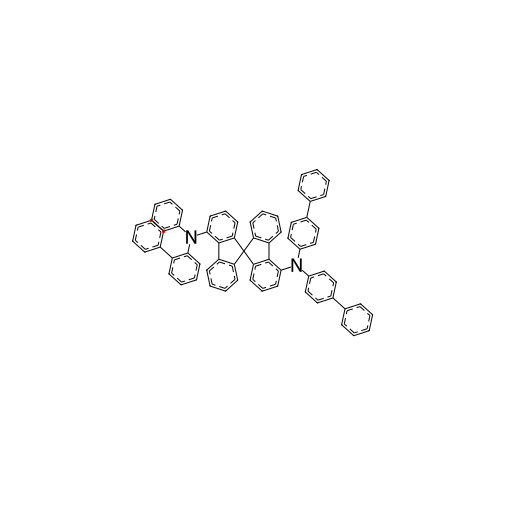 c1ccc(-c2ccc(N(c3ccc(-c4ccccc4)cc3)c3cccc4c3-c3ccccc3C43c4ccccc4-c4c(N(c5ccccc5)c5ccccc5-c5ccccc5)cccc43)cc2)cc1